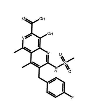 Cc1nc(C(=O)O)c(O)c2nc(NS(C)(=O)=O)c(Cc3ccc(F)cc3)c(C)c12